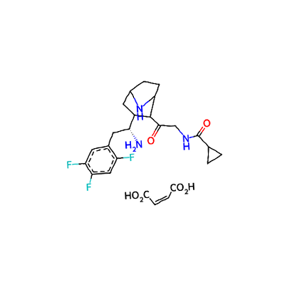 N[C@H](Cc1cc(F)c(F)cc1F)C1CC2CCC(N2)C1C(=O)CNC(=O)C1CC1.O=C(O)/C=C\C(=O)O